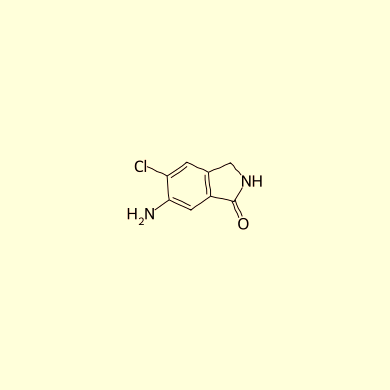 Nc1cc2c(cc1Cl)CNC2=O